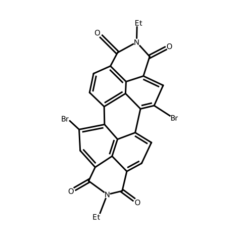 CCN1C(=O)c2ccc3c4c(Br)cc5c6c(ccc(c7c(Br)cc(c2c37)C1=O)c64)C(=O)N(CC)C5=O